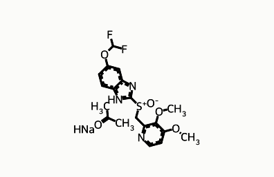 CC(C)=O.COc1ccnc(C[S+]([O-])c2nc3cc(OC(F)F)ccc3[nH]2)c1OC.[NaH]